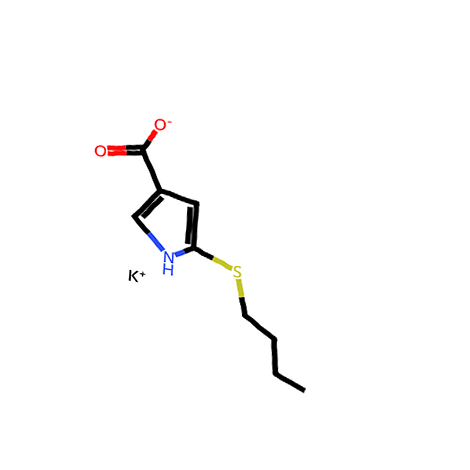 CCCCSc1cc(C(=O)[O-])c[nH]1.[K+]